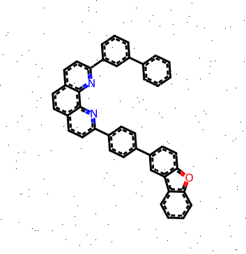 c1ccc(-c2cccc(-c3ccc4ccc5ccc(-c6ccc(-c7ccc8oc9ccccc9c8c7)cc6)nc5c4n3)c2)cc1